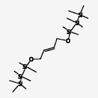 C[Si](C)(C)[Si](C)(C)[Si](C)(C)OCC=CCO[Si](C)(C)[Si](C)(C)[Si](C)(C)C